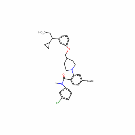 COc1ccc(C(=O)N(C)c2cccc(Cl)c2)c(N2CCC(COc3cccc(C(CC(=O)O)C4CC4)c3)CC2)c1